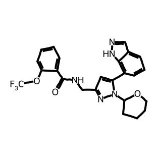 O=C(NCc1cc(-c2cccc3cn[nH]c23)n(C2CCCCO2)n1)c1ccccc1OC(F)(F)F